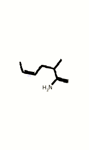 C=C(N)C(C)C/C=C\C